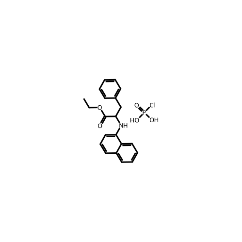 CCOC(=O)C(Cc1ccccc1)Nc1cccc2ccccc12.O=P(O)(O)Cl